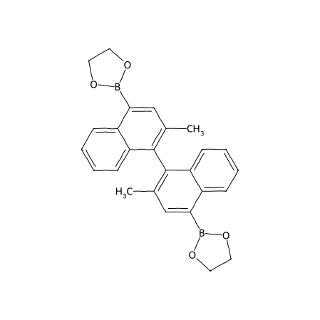 Cc1cc(B2OCCO2)c2ccccc2c1-c1c(C)cc(B2OCCO2)c2ccccc12